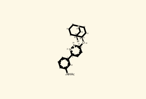 CC(=O)Nc1cccc(-c2ccc(O[C@@H]3CCN4CCC[C@@H]3C4)nn2)c1